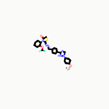 O=C1CS/C(=N\N=C\c2ccc(C3N=CN(c4ccc(OC(F)(F)F)cc4)N3)cc2)N1c1ccccc1OC(F)F